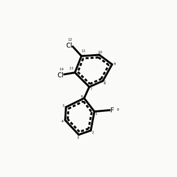 Fc1ccccc1-c1[c]ccc(Cl)c1Cl